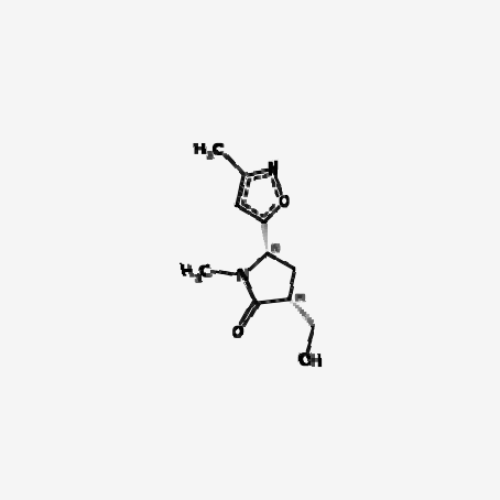 Cc1cc([C@@H]2C[C@H](CO)C(=O)N2C)on1